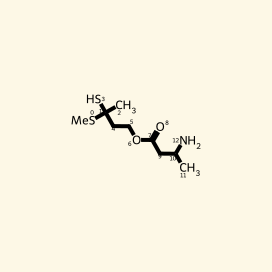 CSC(C)(S)CCOC(=O)CC(C)N